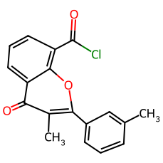 Cc1cccc(-c2oc3c(C(=O)Cl)cccc3c(=O)c2C)c1